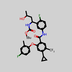 Cc1cc(F)ccc1Oc1cc(C2CC2)c(C(F)(F)F)cc1C(=O)Nc1ccc(F)c(C(CC(C)O)NC(=O)OC(C)(C)C)c1